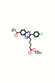 CC(C)C(=O)c1ccc2nc(-c3ccc(F)cc3)c(CCCCC(=O)OC(C)(C)C)nc2c1